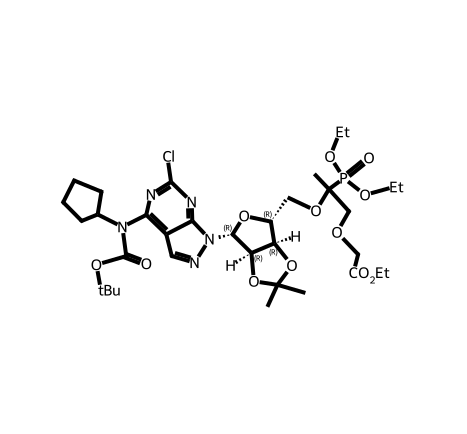 CCOC(=O)COCC(C)(OC[C@H]1O[C@@H](n2ncc3c(N(C(=O)OC(C)(C)C)C4CCCC4)nc(Cl)nc32)[C@@H]2OC(C)(C)O[C@@H]21)P(=O)(OCC)OCC